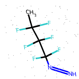 CC(F)(F)C(F)(F)C(F)(F)N=N